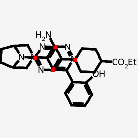 CCOC(=O)C1CCC(c2cnc(N3C4CCC3CN(c3cc(-c5ccccc5O)nnc3N)C4)nc2)CC1